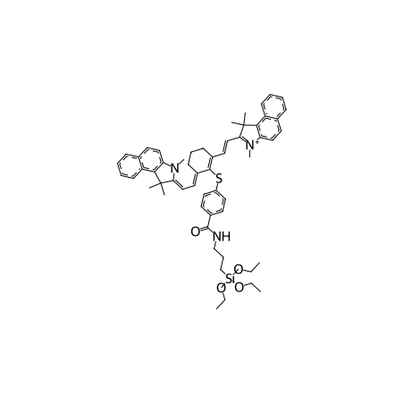 CCO[Si](CCCNC(=O)c1ccc(SC2=C(/C=C/C3=[N+](C)c4ccc5ccccc5c4C3(C)C)CCC/C2=C\C=C2/N(C)c3ccc4ccccc4c3C2(C)C)cc1)(OCC)OCC